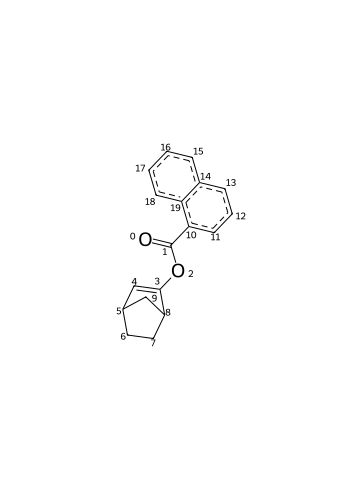 O=C(OC1=CC2CCC1C2)c1cccc2ccccc12